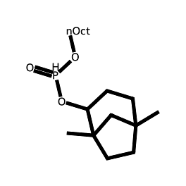 CCCCCCCCO[PH](=O)OC1CCC2(C)CCC1(C)C2